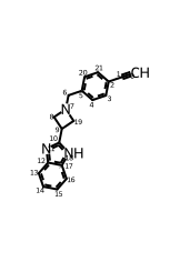 C#Cc1ccc(CN2CC(c3nc4ccccc4[nH]3)C2)cc1